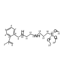 C=C(C)c1ccccc1CNCCNCC[CH2][Ti]([O]C)([O]C)[O]C